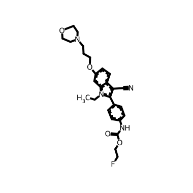 CCn1c(-c2ccc(NC(=O)OCCF)cc2)c(C#N)c2ccc(OCCCN3CCOCC3)cc21